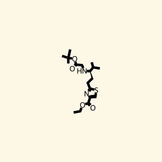 CCOC(=O)c1csc(CC[C@@H](NCC(=O)OC(C)(C)C)C(C)C)n1